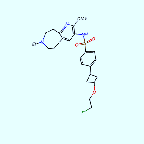 CCN1CCc2cc(NS(=O)(=O)c3ccc(C4CC(OCCF)C4)cc3)c(OC)nc2CC1